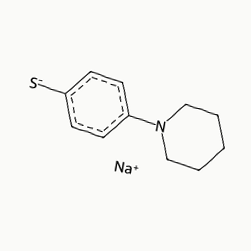 [Na+].[S-]c1ccc(N2CCCCC2)cc1